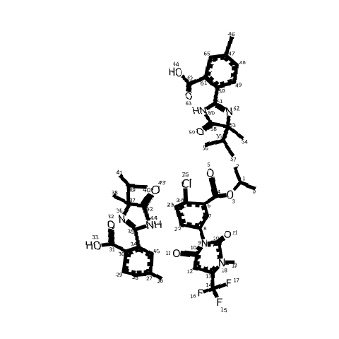 CC(C)OC(=O)c1cc(-n2c(=O)cc(C(F)(F)F)n(C)c2=O)ccc1Cl.Cc1ccc(C(=O)O)c(C2=NC(C)(C(C)C)C(=O)N2)c1.Cc1ccc(C2=NC(C)(C(C)C)C(=O)N2)c(C(=O)O)c1